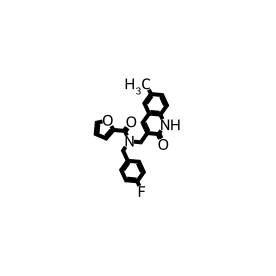 Cc1ccc2[nH]c(=O)c(CN(Cc3ccc(F)cc3)C(=O)c3ccco3)cc2c1